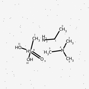 CCN.CN(C)C.C[SH](=O)(O)O